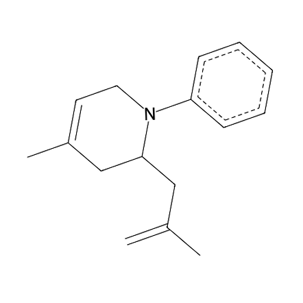 C=C(C)CC1CC(C)=CCN1c1ccccc1